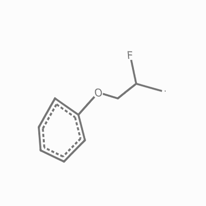 [CH2]C(F)COc1ccccc1